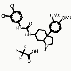 COc1ccc(C23CCC(NC(=O)Nc4ccc(Cl)c(Cl)c4)CC2N(C)CC3)cc1OC.O=C(O)C(F)(F)F